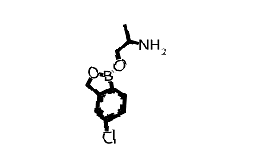 CC(N)COB1OCc2cc(Cl)ccc21